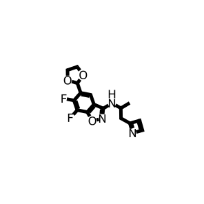 CC(CC1=NC=C1)Nc1noc2c(F)c(F)c(C3OCCO3)cc12